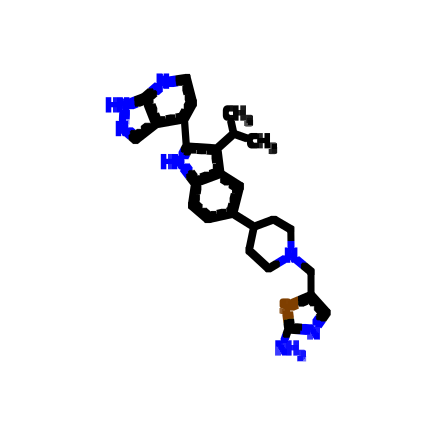 CC(C)c1c(-c2ccnc3[nH]ncc23)[nH]c2ccc(C3CCN(Cc4cnc(N)s4)CC3)cc12